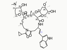 CO[C@]1(C)C[C@H](O[C@H]2[C@H](C)[C@@H](O[C@@H]3O[C@H](C)C[C@H](N(C)C)[C@H]3O)[C@](C)(O)C[C@@H](C)CN(C(=O)C3CC3)C(=O)CC(/C=C/c3c[nH]c4ccccc34)NC(=O)[C@@H]2C)O[C@@H](C)[C@@H]1O